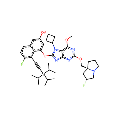 COc1nc(OC[C@@]23CCCN2C[C@H](F)C3)nc2nc(Oc3cc(O)cc4ccc(F)c(C#C[Si](C(C)C)(C(C)C)C(C)C)c34)n(C3CCC3)c12